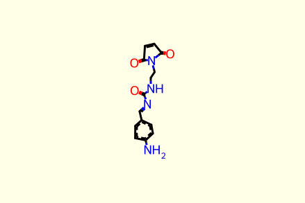 Nc1ccc(/C=N/C(=O)NCCN2C(=O)C=CC2=O)cc1